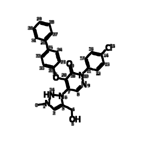 CN1C=C(CO)N(c2cnn(-c3ccc(Cl)cc3)c(=O)c2Oc2ccc(-c3ccccc3)cc2)N1